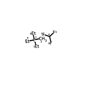 CC[P](C)(CC)CC.FC(F)F